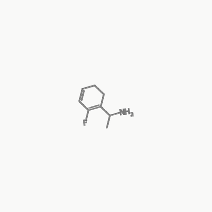 CC(N)C1=C(F)C=CCC1